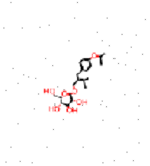 CC(C)=C(CO[C@@H]1O[C@H](CO)[C@@H](O)C(O)[C@H]1O)Cc1ccc(OC(C)C)cc1